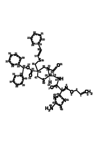 C=CCON=C(C(=O)NC1C(=O)N2CC(CSC=Cc3ccccc3)(C(=O)OC(c3ccccc3)c3ccccc3)CS[C@H]12)c1nsc(N)n1